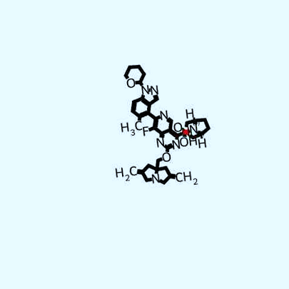 C=C1CN2CC(=C)CC2(COc2nc(N3C[C@H]4CC[C@@H](C3)N4C(=O)O)c3cnc(-c4c(C)ccc5c4cnn5C4CCCCO4)c(F)c3n2)C1